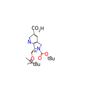 CC(C)(C)OC(=O)N1Cc2cc(C(=O)O)cnc2[C@@H]1CO[Si](C)(C)C(C)(C)C